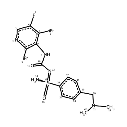 CC(C)c1ncc(F)c(C(C)C)c1NC(=O)N=[S@@](N)(=O)c1ccc(CN(C)C)cc1